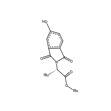 CC(C)(C)OC(=O)[C@@H](N1C(=O)c2ccc(O)cc2C1=O)C(C)(C)C